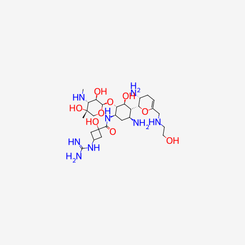 CN[C@@H]1[C@@H](O)[C@@H](O[C@H]2[C@H](NC(=O)C3(O)CC(NC(=N)N)C3)C[C@H](N)C([C@H]3OC(CNCCO)=CC[C@H]3N)[C@@H]2O)OC[C@]1(C)O